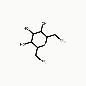 CCC1OC(CN)C(O)C(O)C1O